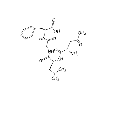 CC(C)C[C@H](NC(=O)[C@@H](N)CC(N)=O)C(=O)NCC(=O)N[C@@H](Cc1ccccc1)C(=O)O